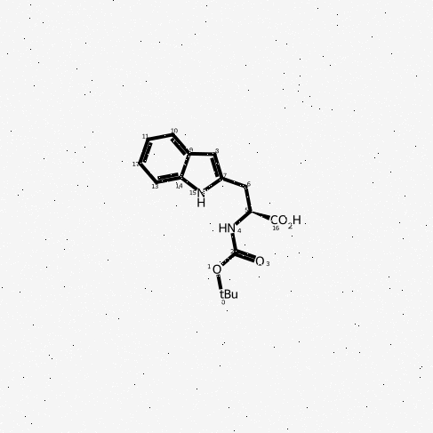 CC(C)(C)OC(=O)N[C@@H](Cc1cc2ccccc2[nH]1)C(=O)O